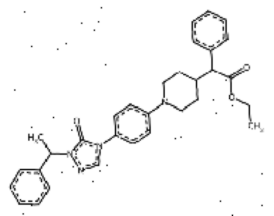 CCOC(=O)C(c1ccccc1)C1CCN(c2ccc(-n3cnn(C(C)c4ccccc4)c3=O)cc2)CC1